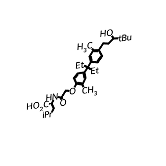 CCC(CC)(c1ccc(CCC(O)C(C)(C)C)c(C)c1)c1ccc(OCC(=O)N[C@@H](CC(C)C)C(=O)O)c(C)c1